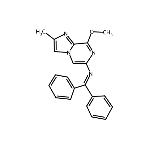 COc1nc(N=C(c2ccccc2)c2ccccc2)cn2cc(C)nc12